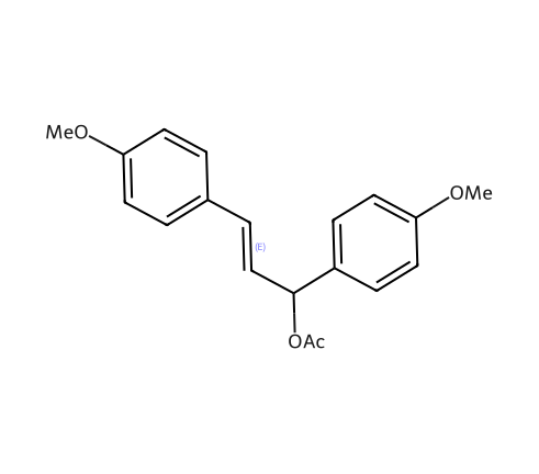 COc1ccc(/C=C/C(OC(C)=O)c2ccc(OC)cc2)cc1